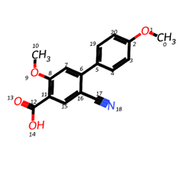 COc1ccc(-c2cc(OC)c(C(=O)O)cc2C#N)cc1